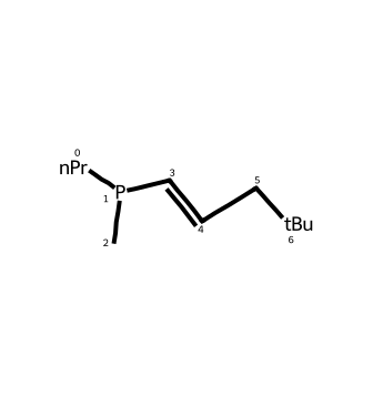 CCCP(C)C=CCC(C)(C)C